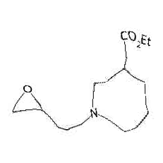 CCOC(=O)C1CCCN(CC2CO2)C1